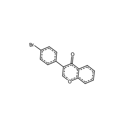 O=c1c(-c2ccc(Br)cc2)coc2ccccc12